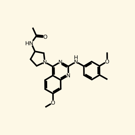 COc1ccc2c(N3CCC(NC(C)=O)C3)nc(Nc3ccc(C)c(OC)c3)nc2c1